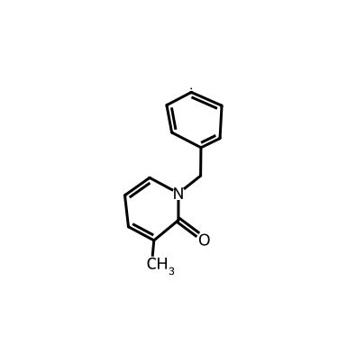 Cc1cccn(Cc2cc[c]cc2)c1=O